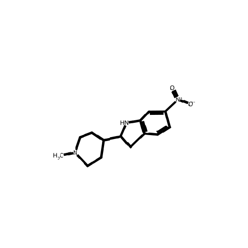 CN1CCC(C2Cc3ccc([N+](=O)[O-])cc3N2)CC1